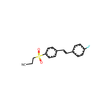 N#CCCS(=O)(=O)c1ccc(C=Cc2ccc(F)cc2)cc1